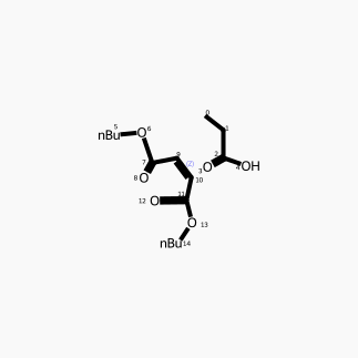 CCC(=O)O.CCCCOC(=O)/C=C\C(=O)OCCCC